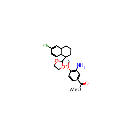 COC(=O)c1ccc(OC[C@@]2(C3OCCO3)CCCC3C=C(Cl)C=CC32)c(N)c1